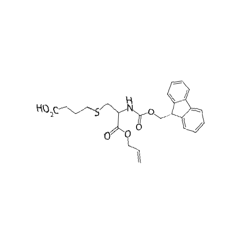 C=CCOC(=O)C(CSCCCC(=O)O)NC(=O)OCC1c2ccccc2-c2ccccc21